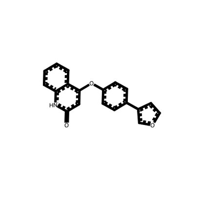 O=c1cc(Oc2ccc(-c3ccoc3)cc2)c2ccccc2[nH]1